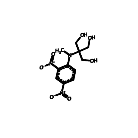 CN(c1ccc([N+](=O)[O-])cc1[N+](=O)[O-])C(CO)(CO)CO